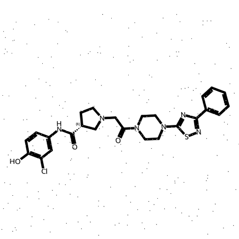 O=C(Nc1ccc(O)c(Cl)c1)[C@@H]1CCN(CC(=O)N2CCN(c3nc(-c4ccccc4)ns3)CC2)C1